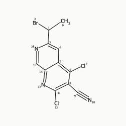 CC(Br)c1cc2c(Cl)c(C#N)c(Cl)nc2cn1